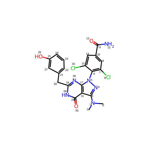 CN(C)c1nn(-c2c(Cl)cc(C(N)=O)cc2Cl)c2nc(Cc3cccc(O)c3)[nH]c(=O)c12